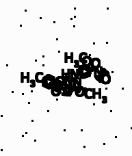 CCOc1nc(Nc2ccc(C(=O)N3CCOCC3)c(OC)c2)nc2c1ccn2S(=O)(=O)c1ccc(C)cc1